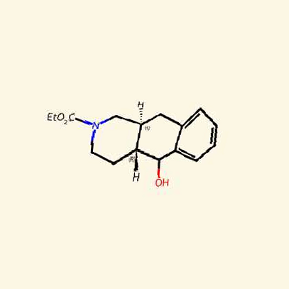 CCOC(=O)N1CC[C@H]2C(O)c3ccccc3C[C@@H]2C1